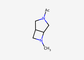 CC(=O)N1CC2CN(C)C2C1